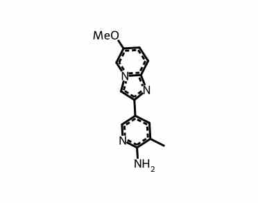 COc1ccc2nc(-c3cnc(N)c(C)c3)cn2c1